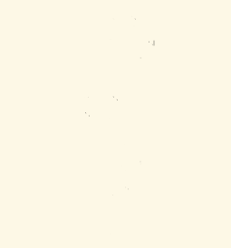 O=C(Nc1ccc(Cc2c[nH]c(=O)c3cc(-c4c[nH]c5ncccc45)cn23)cc1)C1CCC1